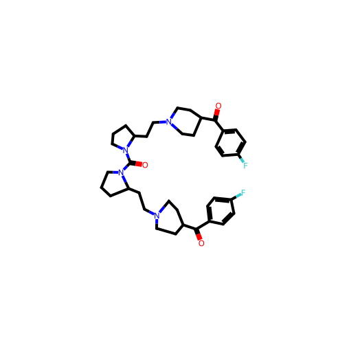 O=C(c1ccc(F)cc1)C1CCN(CCC2CCCN2C(=O)N2CCCC2CCN2CCC(C(=O)c3ccc(F)cc3)CC2)CC1